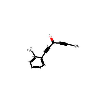 CC#CC(=O)C#Cc1ccccc1C(F)(F)F